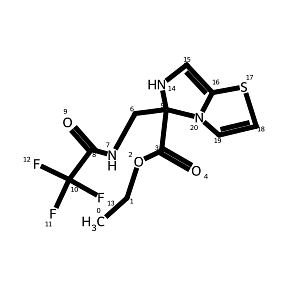 CCOC(=O)C1(CNC(=O)C(F)(F)F)NC=C2SC=CN21